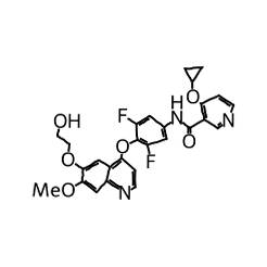 COc1cc2nccc(Oc3c(F)cc(NC(=O)c4cnccc4OC4CC4)cc3F)c2cc1OCCO